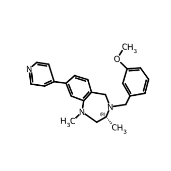 COc1cccc(CN2Cc3ccc(-c4ccncc4)cc3N(C)C[C@H]2C)c1